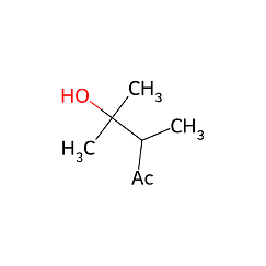 CC(=O)C(C)C(C)(C)O